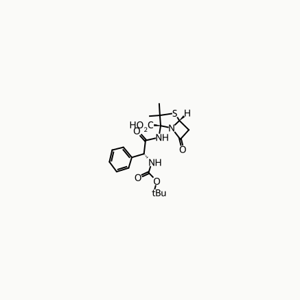 CC(C)(C)OC(=O)N[C@@H](C(=O)N[C@@]1(C(=O)O)N2C(=O)C[C@H]2SC1(C)C)c1ccccc1